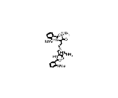 CNc1ccccc1C(=O)NC(CSSCC(NC(=O)c1ccccc1NC)C(=O)NN)C(=O)NN